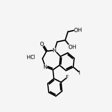 Cl.O=C1CN=C(c2ccccc2F)c2cc(I)ccc2N1CC(O)CO